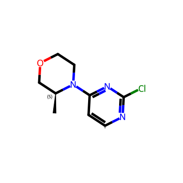 C[C@H]1COCCN1c1c[c]nc(Cl)n1